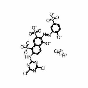 O=S(=O)([O-])c1ccc([O-])c(N=Nc2c(S(=O)(=O)[O-])cc3c(S(=O)(=O)[O-])c(Nc4nc(Cl)nc(Cl)n4)ccc3c2[O-])c1.[Cu+2].[H+].[H+].[H+]